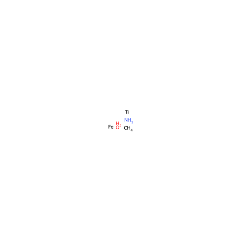 C.N.O.[Fe].[Ti]